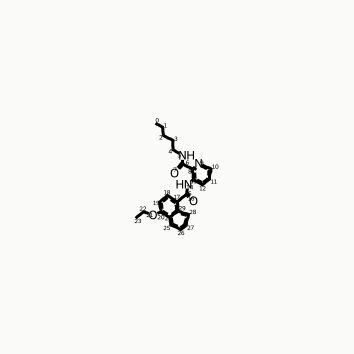 CCCCCNC(=O)c1ncccc1NC(=O)c1ccc(OCC)c2ccccc12